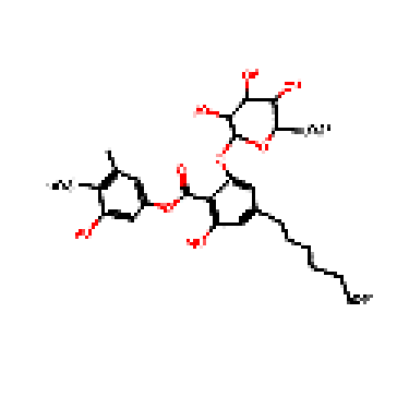 CCCCCCCCCCCCCCCc1cc(O)c(C(=O)Oc2cc(C)c(C(=O)O)c(O)c2)c(OC2OC(C(=O)O)C(O)C(O)C2O)c1